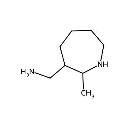 CC1NCCCCC1CN